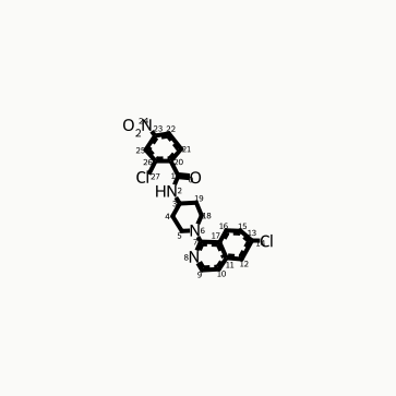 O=C(NC1CCN(c2nccc3cc(Cl)ccc23)CC1)c1ccc([N+](=O)[O-])cc1Cl